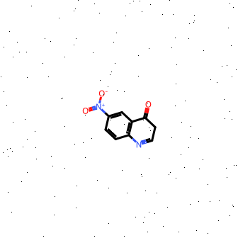 O=C1CC=Nc2ccc([N+](=O)[O-])cc21